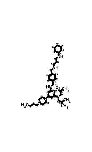 CCCCN1CCN(c2cc(N(CC(C)C)CC(C)C)nc(NCc3ccc(CNCCCNC4CCCCC4)cc3)n2)CC1